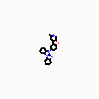 Cc1cc2c(cn1)oc1ccc(-n3c4ccccc4n4c5ccccc5nc34)cc12